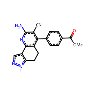 COC(=O)c1ccc(-c2c(C#N)c(N)nc3c2CCc2[nH]ncc2-3)cc1